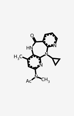 CC(=O)N(C)c1cc(C)c2c(n1)N(C1CC1)c1ncccc1C(=O)N2